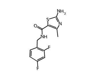 Cc1nc(N)sc1C(=O)NCc1ccc(F)cc1F